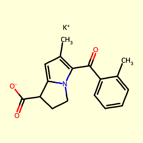 Cc1ccccc1C(=O)c1c(C)cc2n1CCC2C(=O)[O-].[K+]